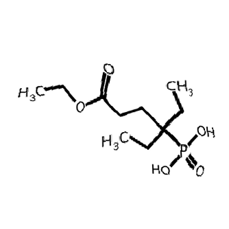 CCOC(=O)CCC(CC)(CC)P(=O)(O)O